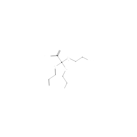 CC(=O)OC(=O)C(NCCO)(NCCO)NCCO